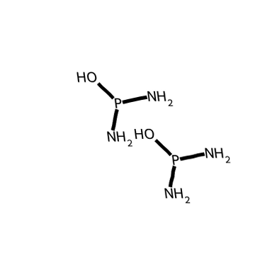 NP(N)O.NP(N)O